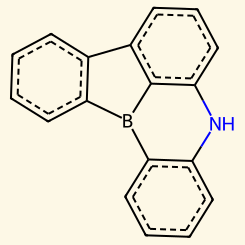 c1ccc2c(c1)Nc1cccc3c1B2c1ccccc1-3